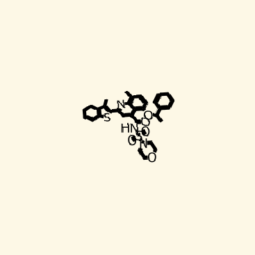 Cc1c(-c2cc(C(=O)NS(=O)(=O)N3CCOCC3)c3c(OC(C)C4=CCCC=C4)ccc(C)c3n2)sc2c1CCC=C2